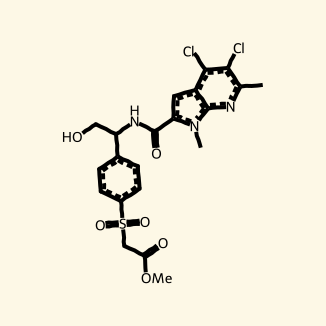 COC(=O)CS(=O)(=O)c1ccc(C(CO)NC(=O)c2cc3c(Cl)c(Cl)c(C)nc3n2C)cc1